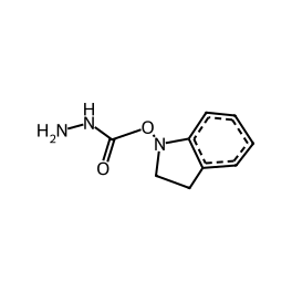 NNC(=O)ON1CCc2ccccc21